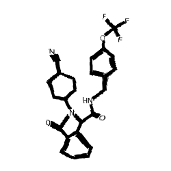 N#CC1CCC(N2C(=O)c3ccccc3C2C(=O)NCc2ccc(OC(F)(F)F)cc2)CC1